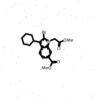 COC(=O)Cn1c(Br)c(C2CCCCC2)c2ccc(C(=O)OC)cc21